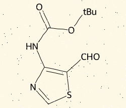 CC(C)(C)OC(=O)Nc1ncsc1C=O